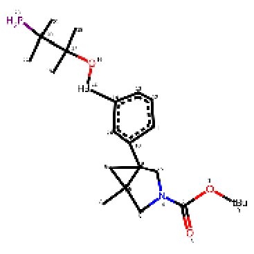 CC(C)(C)OC(=O)N1CC2(C)CC2(c2cccc(BOC(C)(C)C(C)(C)P)c2)C1